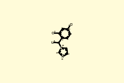 [Li][CH](c1ccc(Cl)cc1Cl)n1ccnc1